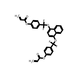 C=CC(=O)Oc1ccc(C(F)(F)Oc2ccc(OC(F)(F)c3ccc(OC(=O)C=C)cc3)c3ccccc23)cc1